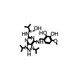 COc1ccc(CNc2nc(N[C@@H](CO)C(C)C)nc3c2N(C(C)C)NN3C(C)C)c(O)c1O